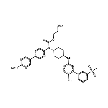 COCCOC(=O)N(c1ccc(-c2cnc(OC)nc2)cn1)[C@H]1CC[C@H](Nc2ncc(C(F)(F)F)c(-c3cncc(S(C)(=O)=O)c3)n2)CC1